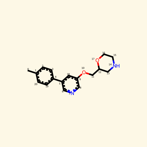 Cc1ccc(-c2cncc(OCC3CNCCO3)c2)cc1